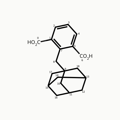 O=C(O)c1cccc(C(=O)O)c1CC12CC3CC(CC(C3)C1)C2